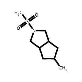 CC1CC2CN(S(C)(=O)=O)CC2C1